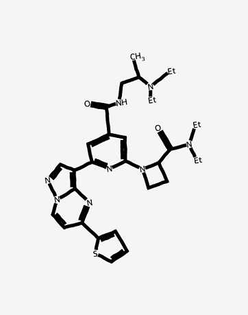 CCN(CC)C(=O)C1CCN1c1cc(C(=O)NCC(C)N(CC)CC)cc(-c2cnn3ccc(-c4cccs4)nc23)n1